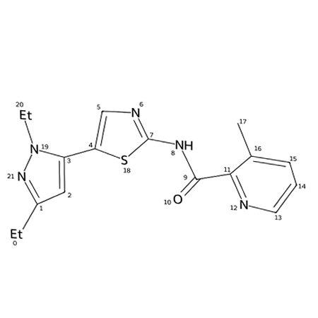 CCc1cc(-c2cnc(NC(=O)c3ncccc3C)s2)n(CC)n1